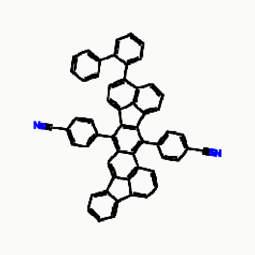 N#Cc1ccc(-c2c3cc4c5ccccc5c5cccc(c3c(-c3ccc(C#N)cc3)c3c6cccc7c(-c8ccccc8-c8ccccc8)ccc(c23)c76)c54)cc1